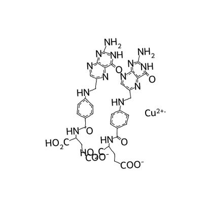 Nc1nc2ncc(CNc3ccc(C(=O)NC(CCC(=O)[O-])C(=O)O)cc3)nc2c(=O)[nH]1.Nc1nc2ncc(CNc3ccc(C(=O)NC(CCC(=O)[O-])C(=O)O)cc3)nc2c(=O)[nH]1.[Cu+2]